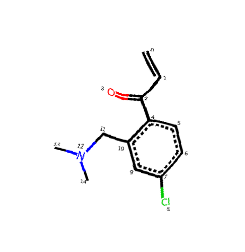 C=CC(=O)c1ccc(Cl)cc1CN(C)C